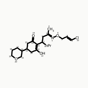 CCCC(CC(C)=NOCC=CCl)C1=C(O)CC(C2CCCOC2)CC1=O